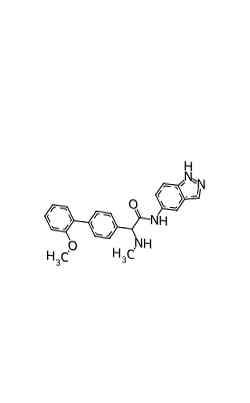 CNC(C(=O)Nc1ccc2[nH]ncc2c1)c1ccc(-c2ccccc2OC)cc1